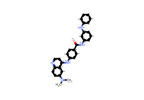 CN(C)c1ccc2nccc(Nc3ccc(C(=O)Nc4cccc(Nc5ccccc5)c4)cc3)c2c1